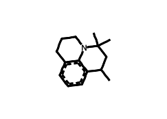 CC1CC(C)(C)N2CCCc3cccc1c32